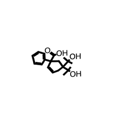 CC(C)(O)C1(C(C)(C)O)CC=CC(C(=O)O)(c2ccccc2)C1